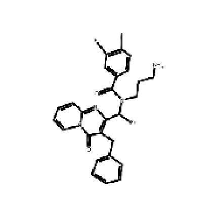 Cc1ccc(C(=O)N(CCCN)C(c2nc3ccccn3c(=O)c2Cc2ccccc2)C(C)C)cc1F